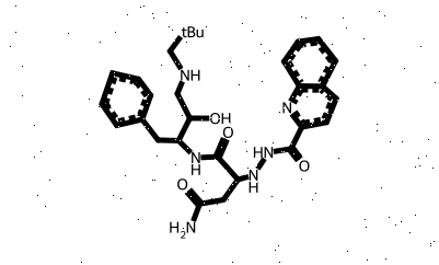 CC(C)(C)CNCC(O)C(Cc1ccccc1)NC(=O)C(CC(N)=O)NNC(=O)c1ccc2ccccc2n1